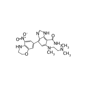 CN(C)CCN(C)c1cc(-c2cc3c(c([N+](=O)[O-])c2)NCCO3)c2nc[nH]c2c1C(N)=O